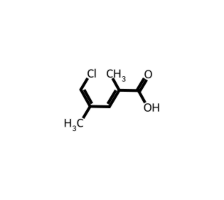 CC(=CCl)C=C(C)C(=O)O